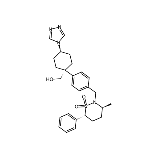 C[C@H]1CC[C@H](c2ccccc2)S(=O)(=O)N1Cc1ccc([C@]2(CO)CC[C@H](n3cnnc3)CC2)cc1